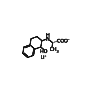 C[C@H](NC1CCc2ccccc2C1O)C(=O)[O-].[Li+]